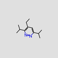 CCc1cc(C(C)C)nnc1C(C)C